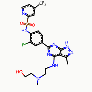 Cc1n[nH]c2nc(-c3ccc(NS(=O)(=O)c4cc(C(F)(F)F)ccn4)c(F)c3)nc(NCCN(C)CCO)c12